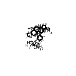 CC(C)(C)[Si](C)(C)Oc1ccc([C@H]2C[C@]3(C)C(=O)CC[C@H]3[C@@H]3CC[C@@]4(O)CC5(CC[C@@H]4[C@H]32)OCCO5)cc1